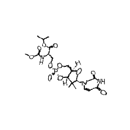 COC(=O)N[C@H](CO[P@]1(=O)OC[C@H]2O[C@@H](n3ccc(=O)[nH]c3=O)C(C)(C)[C@@H]2O1)C(=O)OC(C)C